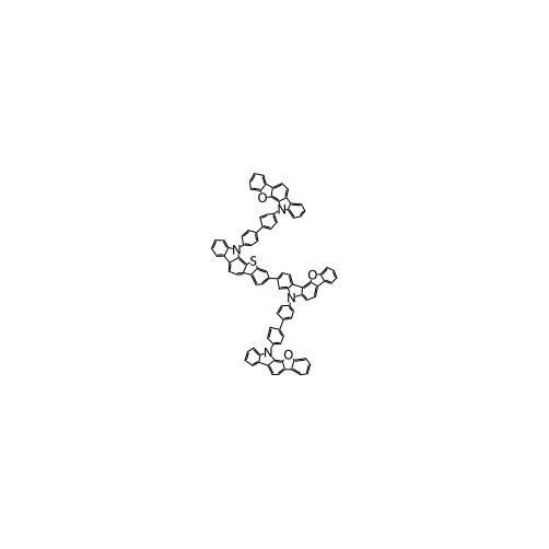 c1ccc2c(c1)oc1c2ccc2c1c1ccc(-c3ccc4c(c3)sc3c4ccc4c5ccccc5n(-c5ccc(-c6ccc(-n7c8ccccc8c8ccc9c%10ccccc%10oc9c87)cc6)cc5)c43)cc1n2-c1ccc(-c2ccc(-n3c4ccccc4c4ccc5c6ccccc6oc5c43)cc2)cc1